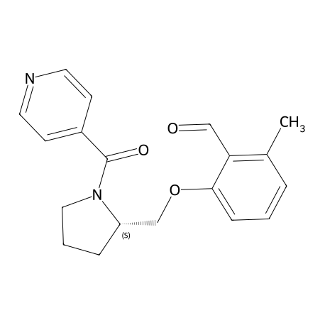 Cc1cccc(OC[C@@H]2CCCN2C(=O)c2ccncc2)c1C=O